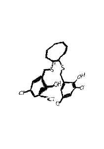 Oc1c(Cl)cc(Cl)cc1CSC1CCCCCC[C@@H]1SCc1cc(Cl)cc(Cl)c1O